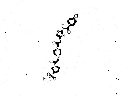 CS(=O)(=O)C1CCN(C(=O)CN2CCN(C(=O)Cc3csc(NC(=O)c4ccc(Cl)cc4)n3)CC2)C1